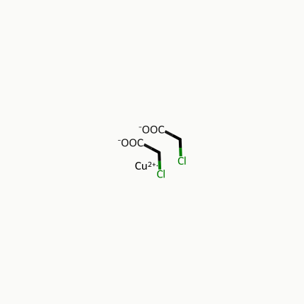 O=C([O-])CCl.O=C([O-])CCl.[Cu+2]